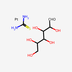 NC(N)=S.O=CC(O)C(O)C(O)C(O)CO.[Pt]